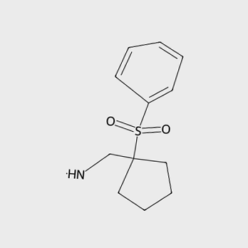 [NH]CC1(S(=O)(=O)c2ccccc2)CCCC1